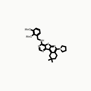 COc1cccc(CNc2ncnc3c2sc2nc(N4CCCC4)c4c(c23)CC(C)(C)CC4)c1OC